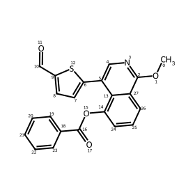 COc1ncc(-c2ccc(C=O)s2)c2c(OC(=O)c3ccccc3)cccc12